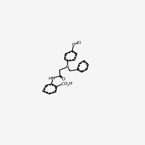 CCOc1ccc(N(CC(=O)Nc2ccccc2C(=O)O)Cc2ccccc2)cc1